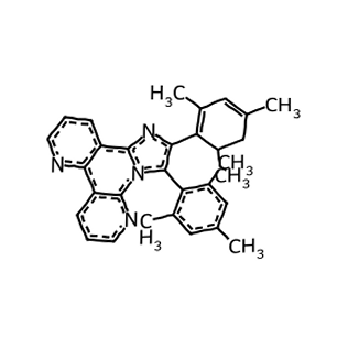 CC1=CC(C)=C(c2nc3c4cccnc4c4cccnc4n3c2-c2c(C)cc(C)cc2C)C(C)C1